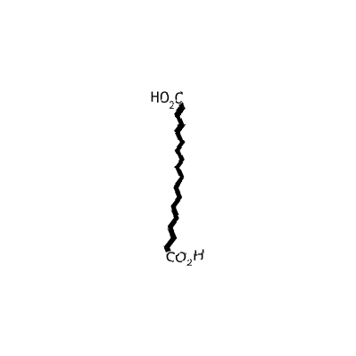 O=C(O)C=CC=CCCCCCCCCCCCCC(=O)O